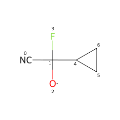 N#CC([O])(F)C1CC1